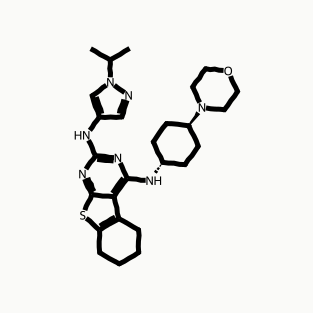 CC(C)n1cc(Nc2nc(N[C@H]3CC[C@H](N4CCOCC4)CC3)c3c4c(sc3n2)CCCC4)cn1